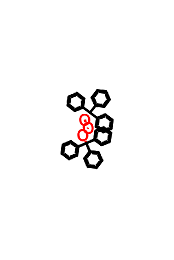 c1ccc(C(OOOC(c2ccccc2)(c2ccccc2)c2ccccc2)(c2ccccc2)c2ccccc2)cc1